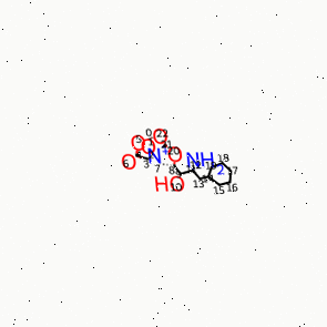 CO[N+]1(CC(=O)[O-])C[C@@H]([C@H](O)[C@@H](N)CC2CCCCC2)OC1=O